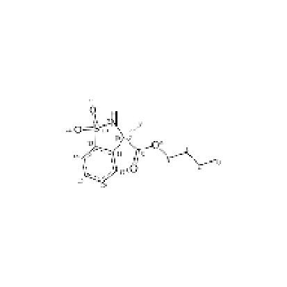 CCCCOC(=O)[C@]1(C)NS(=O)(=O)c2ccccc21